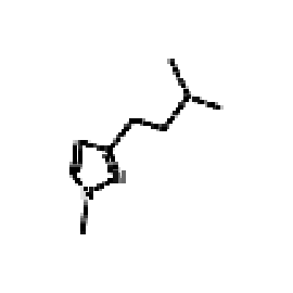 CC(C)CCc1ccn(C)n1